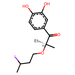 CC[C@](C)(OCCC(C)I)C(=O)c1ccc(O)c(O)c1